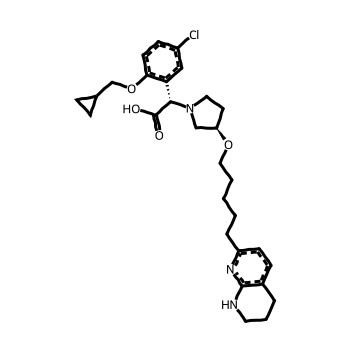 O=C(O)[C@H](c1cc(Cl)ccc1OCC1CC1)N1CC[C@@H](OCCCCCc2ccc3c(n2)NCCC3)C1